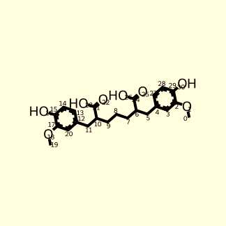 COc1cc(CC(CCCC(Cc2ccc(O)c(OC)c2)C(=O)O)C(=O)O)ccc1O